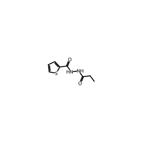 CCC(=O)NNC(=O)c1cccs1